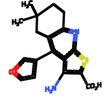 CC1(C)CCc2nc3sc(C(=O)O)c(N)c3c(-c3ccoc3)c2C1